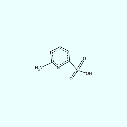 Nc1cccc(S(=O)(=O)O)n1